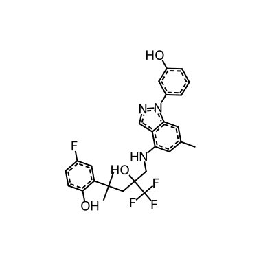 Cc1cc(NCC(O)(CC(C)(C)c2cc(F)ccc2O)C(F)(F)F)c2cnn(-c3cccc(O)c3)c2c1